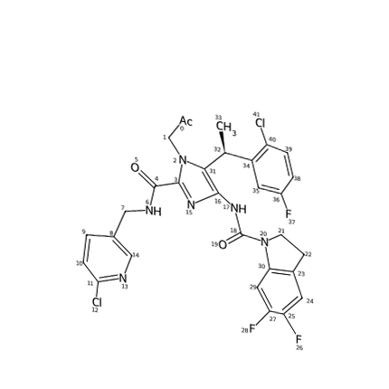 CC(=O)Cn1c(C(=O)NCc2ccc(Cl)nc2)nc(NC(=O)N2CCc3cc(F)c(F)cc32)c1[C@@H](C)c1cc(F)ccc1Cl